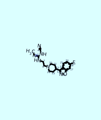 C/N=C(\NC#N)NCCN1CCC(c2noc3cc(F)ccc23)CC1